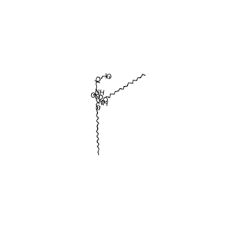 CCCCCCCCCCCCCCCCCCOCC(COC(=O)NCCCC(C)(C)OCCC(C)(C)OC)NC(=O)OCCCCCCCCCCCCCCCCCC